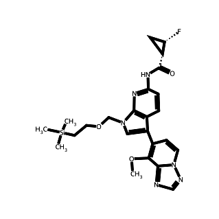 COc1c(-c2cn(COCC[Si](C)(C)C)c3nc(NC(=O)[C@@H]4C[C@@H]4F)ccc23)ccn2ncnc12